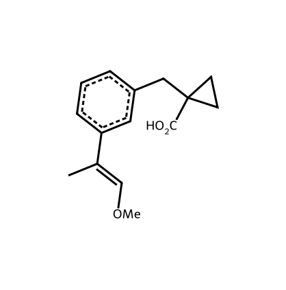 COC=C(C)c1cccc(CC2(C(=O)O)CC2)c1